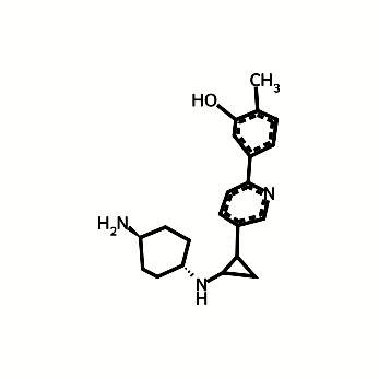 Cc1ccc(-c2ccc(C3CC3N[C@H]3CC[C@H](N)CC3)cn2)cc1O